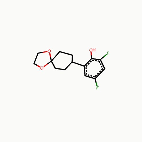 Oc1c(F)cc(F)cc1C1CCC2(CC1)OCCO2